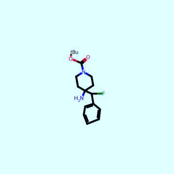 CC(C)(C)OC(=O)N1CCC(N)(C(F)c2ccccc2)CC1